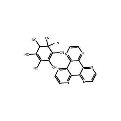 N#CC1=C(C#N)C(C#N)C(C#N)(C#N)C(C#N)=C1C#N.c1cnc2c(n1)c1nccnc1c1nccnc21